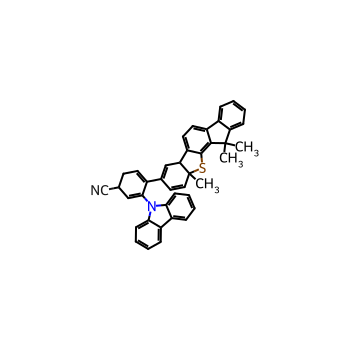 CC1(C)c2ccccc2-c2ccc3c(c21)SC1(C)C=CC(C2=CCC(C#N)C=C2n2c4ccccc4c4ccccc42)=CC31